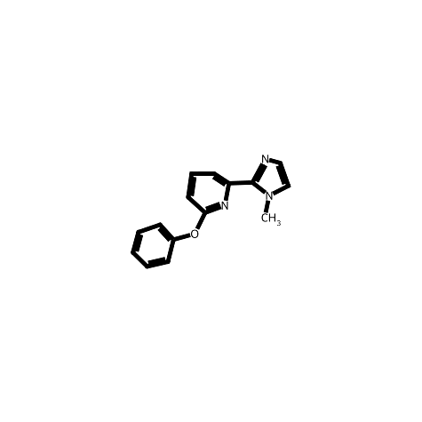 Cn1ccnc1-c1cccc(Oc2ccccc2)n1